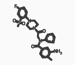 Cc1ccc(C(=O)N(CC(=O)N2CCN(c3ccc(F)cc3S(C)(=O)=O)CC2)c2ccccc2)cc1N